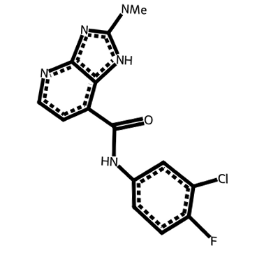 CNc1nc2nccc(C(=O)Nc3ccc(F)c(Cl)c3)c2[nH]1